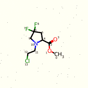 COC(=O)C1CC(F)(F)CN1CCCl